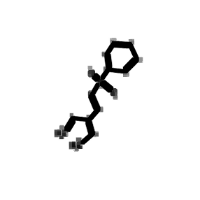 C=CC(/C=C/S(=O)(=O)c1ccccc1)=C\C